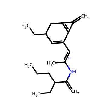 C=C1C2=C1C(/C=C(\C)NC(=C)C(CC)CCC)=CC(CC)C2